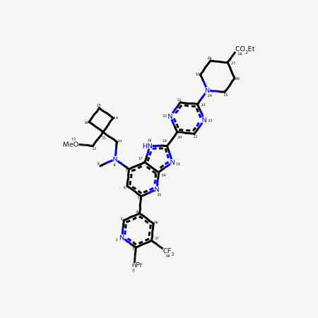 CCCc1ncc(-c2cc(N(C)CC3(COC)CCC3)c3[nH]c(-c4cnc(N5CCC(C(=O)OCC)CC5)cn4)nc3n2)cc1C(F)(F)F